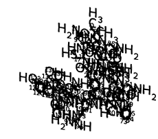 CC[C@H](C)[C@H](NC(=O)[C@H](CC(N)=O)NC(=O)[C@H](CS)NC(=O)[C@@H](N)Cc1ccccc1)C(=O)N[C@@H](CC(N)=O)C(=O)N[C@@H](CC(N)=O)C(=O)N[C@H](C(=O)N[C@@H](CS)C(=O)N[C@@H](CC(N)=O)C(=O)N[C@@H](Cc1ccccc1)C(=O)N[C@@H](C)C(=O)N[C@@H](CO)C(=O)N[C@@H](CCCNC(=N)N)C(=O)N[C@@H](CC(N)=O)C(=O)N[C@@H](CC(=O)O)C(=O)N[C@@H](Cc1ccc(O)cc1)C(=O)N[C@@H](CO)C(=O)O)C(C)C